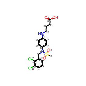 CS(=O)(=O)N(Cc1cccc(Cl)c1Cl)c1ccc(NCCCC(=O)O)cc1